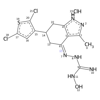 Cc1n[nH]c2c1/C(=N\NC(=N)NO)CC(c1cc(Cl)sc1Cl)C2.Cl